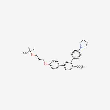 CCOC(=O)c1ccc(-c2ccc(OCCCO[Si](C)(C)C(C)(C)C)cc2)cc1-c1ccc(N2CCCC2)cc1